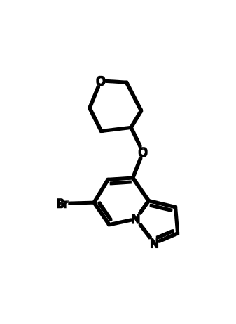 Brc1cc(OC2CCOCC2)c2ccnn2c1